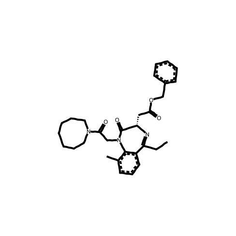 CCC1=N[C@@H](CC(=O)OCc2ccccc2)C(=O)N(CC(=O)N2CCCCCCC2)c2c(C)cccc21